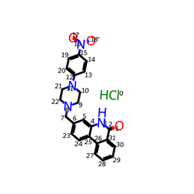 Cl.O=c1[nH]c2cc(CN3CCN(c4ccc([N+](=O)[O-])cc4)CC3)ccc2c2ccccc12